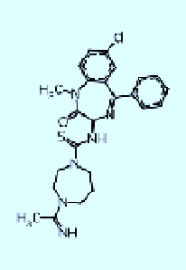 CC(=N)N1CCCN(C(=S)NC2N=C(c3ccccc3)c3cc(Cl)ccc3N(C)C2=O)CC1